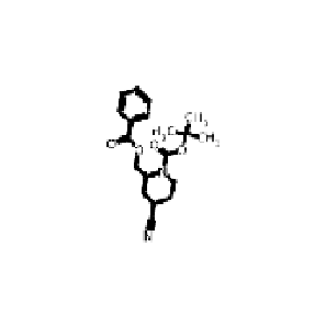 CC(C)(C)OC(=O)N1CCC(C#N)CC1COC(=O)c1ccccc1